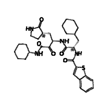 O=C(NC1CCCCC1)C(=O)C(C[C@@H]1CCNC1=O)NC(=O)[C@H](CC1CCCCC1)NC(=O)c1cc2ccccc2s1